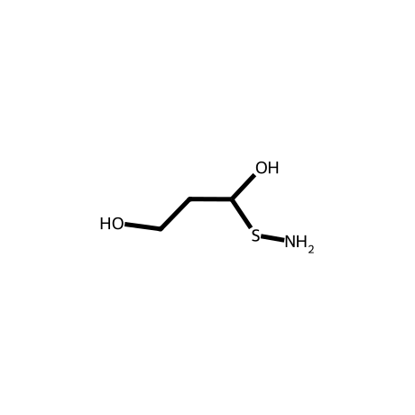 NSC(O)CCO